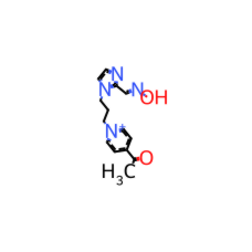 CC(=O)c1cc[n+](CCCn2ccnc2/C=N/O)cc1